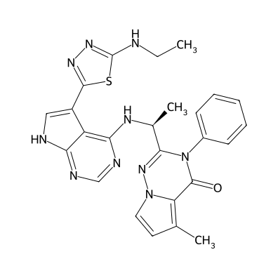 CCNc1nnc(-c2c[nH]c3ncnc(N[C@@H](C)c4nn5ccc(C)c5c(=O)n4-c4ccccc4)c23)s1